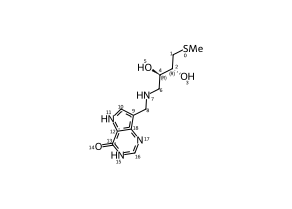 CSC[C@H](O)[C@H](O)CNCc1c[nH]c2c(=O)[nH]cnc12